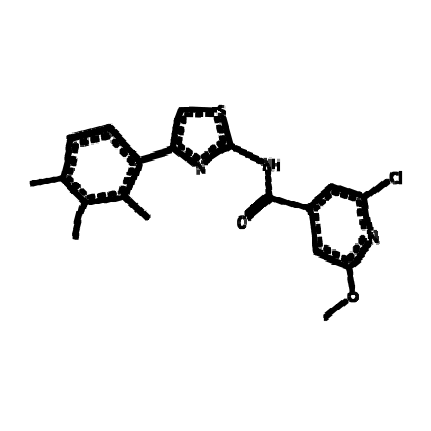 COc1cc(C(=O)Nc2nc(-c3ccc(C)c(C)c3C)cs2)cc(Cl)n1